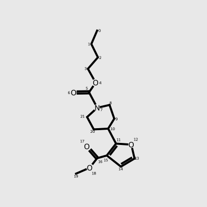 CCCCOC(=O)N1CCC(c2occc2C(=O)OC)CC1